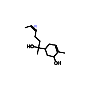 C/C=C\CCC(C)(O)C1CC=C(C)C(O)C1